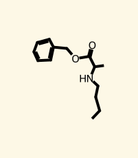 CCCCNC(C)C(=O)OCc1ccccc1